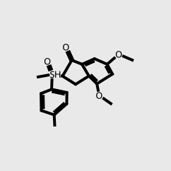 COc1cc(OC)c2c(c1)C(=O)C([SH](C)(=O)c1ccc(C)cc1)C2